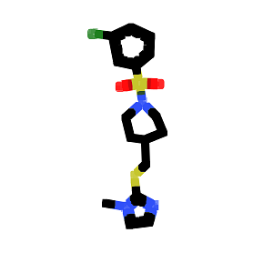 Cn1ccnc1SCC1CCN(S(=O)(=O)c2cccc(Cl)c2)CC1